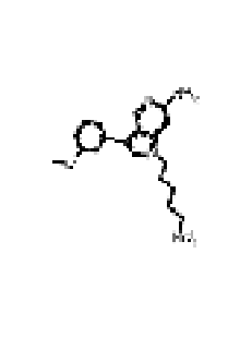 COc1cccc(-c2cn(CCCCCN)c3cc(N)ncc23)c1